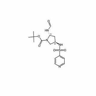 CC(C)(C)OC(=O)N1C[C@H](NS(=O)(=O)c2ccncc2)C[C@H]1NC=O